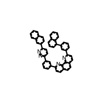 c1cc(-c2ccc(-c3ccc4ccccc4c3)nn2)cc(-c2ccc3ccc4ccc(-c5cccc(-c6cccc7ccccc67)c5)nc4c3n2)c1